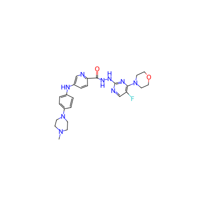 CN1CCN(c2ccc(Nc3ccc(C(=O)NNc4ncc(F)c(N5CCOCC5)n4)nc3)cc2)CC1